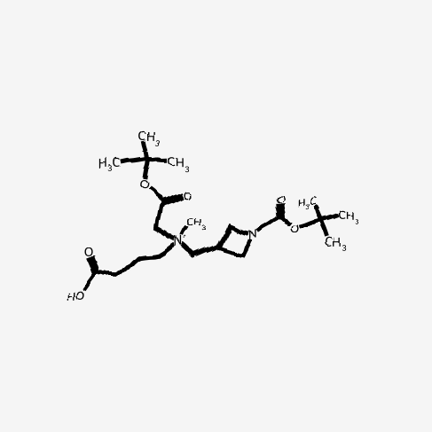 CC(C)(C)OC(=O)C[N+](C)(CCCC(=O)O)CC1CN(C(=O)OC(C)(C)C)C1